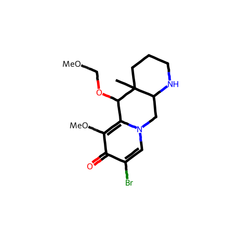 COCOC1c2c(OC)c(=O)c(Br)cn2CC2NCCCC21C